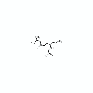 CCCC(CCN(C)CC(C)C)NCC(=O)O